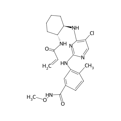 C=CC(=O)N[C@@H]1CCCC[C@H]1Nc1nc(Nc2cc(C(=O)NOC)ccc2C)ncc1Cl